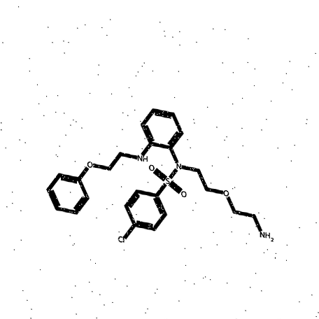 NCCOCCN(c1ccccc1NCCOc1ccccc1)S(=O)(=O)c1ccc(Cl)cc1